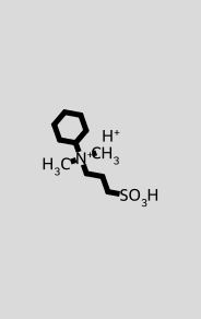 C[N+](C)(CCCS(=O)(=O)O)C1CCCCC1.[H+]